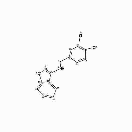 Clc1ccc(CNc2noc3ccccc23)cc1Cl